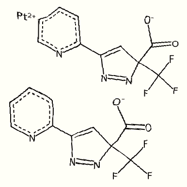 O=C([O-])C1(C(F)(F)F)C=C(c2ccccn2)N=N1.O=C([O-])C1(C(F)(F)F)C=C(c2ccccn2)N=N1.[Pt+2]